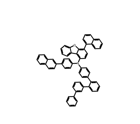 c1ccc(-c2cccc(-c3ccccc3-c3ccc(N(c4ccc(-c5ccc6ccccc6c5)cc4)c4ccc(-c5cccc6ccccc56)c5oc6ccccc6c45)cc3)c2)cc1